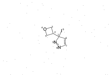 IC1(C2COC2)C=CN=N1